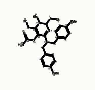 CCSC1N=C(N(Cc2ccc(OC)cc2)Cc2ccc(OC)cc2)C(OC(N)=O)=C(CBr)N1C(C)(C)C